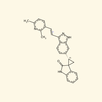 Cc1ccc(/C=C/c2n[nH]c3cc([C@@H]4CC45C(=O)Nc4ccccc45)ccc23)c(C)n1